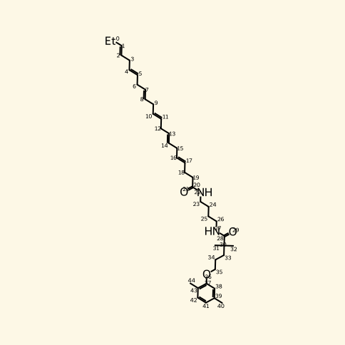 CCC=CCC=CCC=CCC=CCC=CCC=CCCC(=O)NCCCCNC(=O)C(C)(C)CCCOc1cc(C)ccc1C